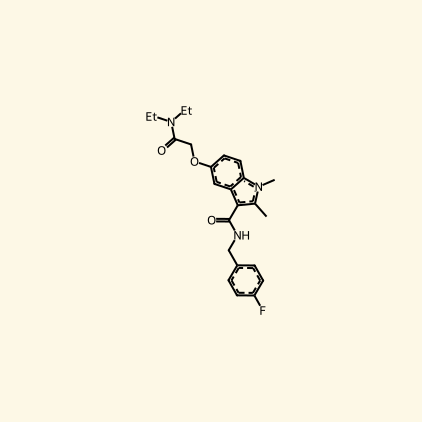 CCN(CC)C(=O)COc1ccc2c(c1)c(C(=O)NCc1ccc(F)cc1)c(C)n2C